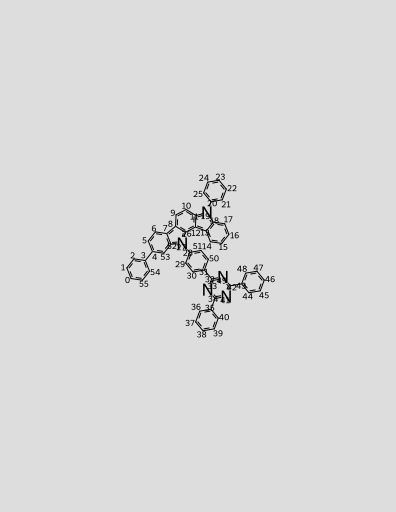 c1ccc(-c2ccc3c4ccc5c(c6ccccc6n5-c5ccccc5)c4n(-c4ccc(-c5nc(-c6ccccc6)nc(-c6ccccc6)n5)cc4)c3c2)cc1